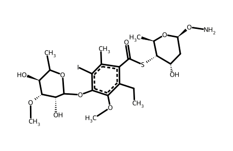 CCc1c(OC)c(OC2OC(C)[C@H](O)[C@@H](OC)[C@H]2O)c(I)c(C)c1C(=O)S[C@H]1[C@@H](O)C[C@H](ON)O[C@@H]1C